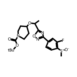 CC(OC1CCN(C(=O)OC(C)(C)C)CC1)c1nc(-c2ccc([S+](C)[O-])c(F)c2)no1